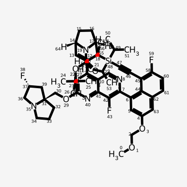 COCOc1cc(-c2ncc3c(C4=C[C@@H]5CC[C@H](C4)N5C(=O)OC(C)(C)C)nc(OC[C@@]45CCCN4C[C@H](F)C5)nc3c2F)c2c(C#C[Si](C(C)C)(C(C)C)C(C)C)c(F)ccc2c1